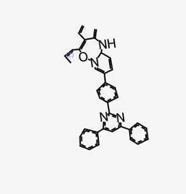 C=CC1=C(/C=C\C)ON2C=C(c3ccc(-c4nc(-c5ccccc5)cc(-c5ccccc5)n4)cc3)C=CC2NC1=C